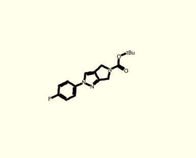 CC(C)(C)OC(=O)N1Cc2cn(-c3ccc(F)cc3)nc2C1